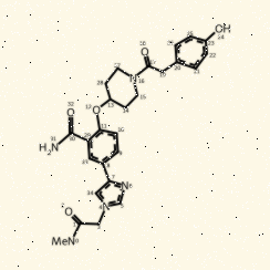 CNC(=O)Cn1cnc(-c2ccc(OC3CCN(C(=O)Cc4ccc(O)cc4)CC3)c(C(N)=O)c2)c1